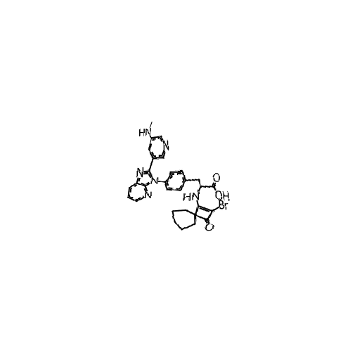 CNc1cncc(-c2nc3cccnc3n2-c2ccc(C[C@H](NC3=C(Br)C(=O)C34CCCCC4)C(=O)O)cc2)c1